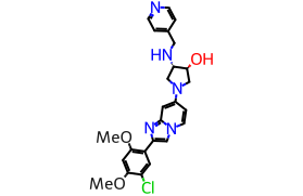 COc1cc(OC)c(-c2cn3ccc(N4C[C@H](NCc5ccncc5)[C@@H](O)C4)cc3n2)cc1Cl